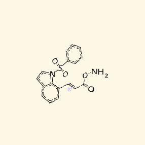 NOC(=O)/C=C/c1cccc2ccn(S(=O)(=O)c3ccccc3)c12